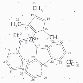 CC/[C](c1ccccc1)=[Zr+2](\[C]1=C(C)C(C)=CC1C)[CH]1c2ccccc2-c2ccccc21.[Cl-].[Cl-]